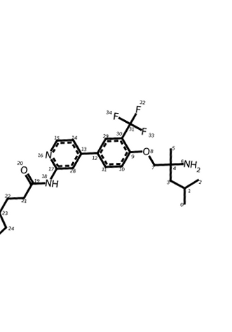 CC(C)CC(C)(N)COc1ccc(-c2ccnc(NC(=O)CCC3CCCC3)c2)cc1C(F)(F)F